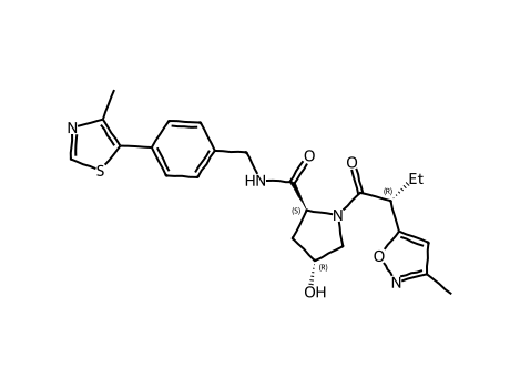 CC[C@@H](C(=O)N1C[C@H](O)C[C@H]1C(=O)NCc1ccc(-c2scnc2C)cc1)c1cc(C)no1